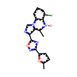 Cc1ccc(-c2noc(-c3ncn4c3c(C)[n+]([O-])c3c(F)cccc34)n2)o1